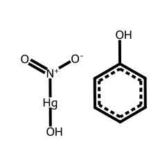 O=[N+]([O-])[Hg][OH].Oc1ccccc1